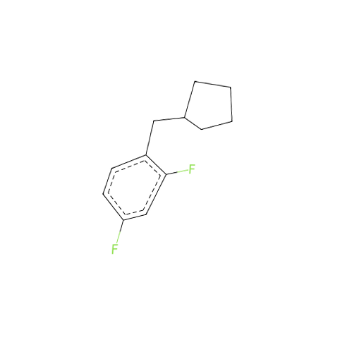 Fc1ccc(CC2CCCC2)c(F)c1